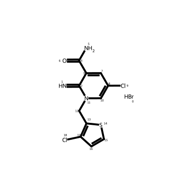 Br.N=c1c(C(N)=O)cc(Cl)cn1Cc1sccc1Cl